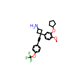 COc1ccc(C2(C#Cc3ccc(OC(F)(F)F)cc3)CC(N)C2)cc1OC1CCCC1